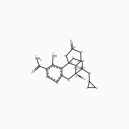 NC(=O)c1ccc2c(c1O)C13CCC(CC4CC4)[C@H](C2)[C@]1(O)CCC(=O)C3